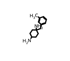 Cc1cccc(CC2(N)CCC(N)CC2)c1